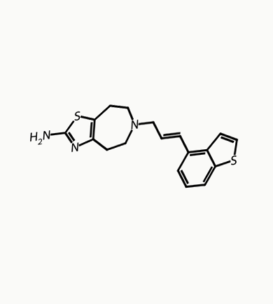 Nc1nc2c(s1)CCN(CC=Cc1cccc3sccc13)CC2